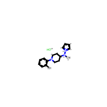 CCc1ccccc1N1CCC(N(C#N)n2cccc2)CC1.Cl